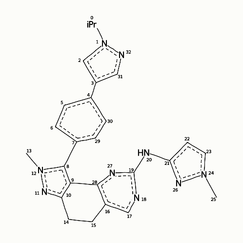 CC(C)n1cc(-c2ccc(-c3c4c(nn3C)CCc3cnc(Nc5ccn(C)n5)nc3-4)cc2)cn1